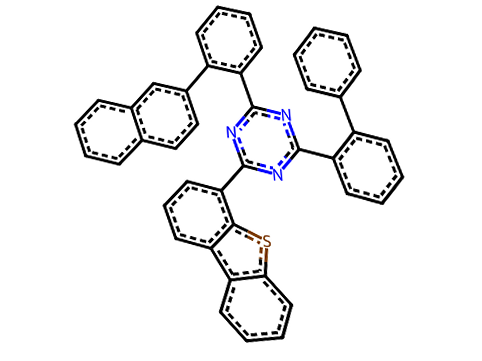 c1ccc(-c2ccccc2-c2nc(-c3ccccc3-c3ccc4ccccc4c3)nc(-c3cccc4c3sc3ccccc34)n2)cc1